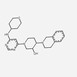 OC1CN(c2cc(NC3CCOCC3)ncn2)CCC1N1CCc2ccccc2C1